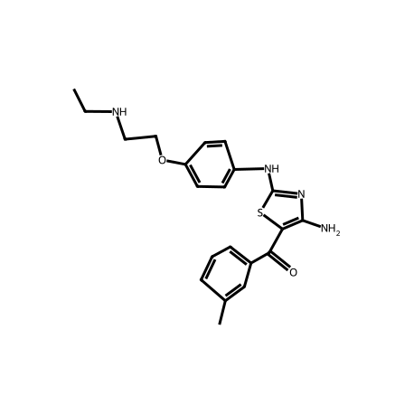 CCNCCOc1ccc(Nc2nc(N)c(C(=O)c3cccc(C)c3)s2)cc1